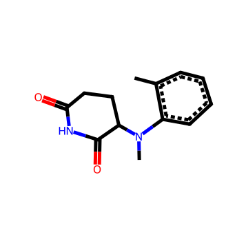 Cc1ccccc1N(C)C1CCC(=O)NC1=O